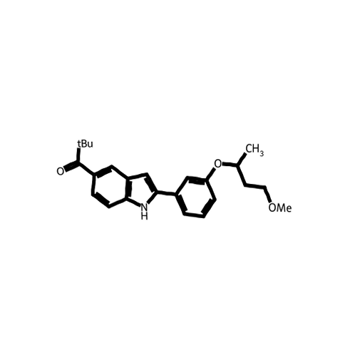 COCCC(C)Oc1cccc(-c2cc3cc(C(=O)C(C)(C)C)ccc3[nH]2)c1